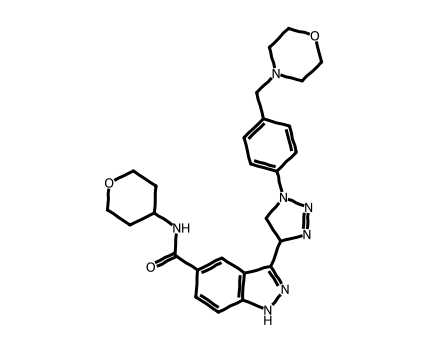 O=C(NC1CCOCC1)c1ccc2[nH]nc(C3CN(c4ccc(CN5CCOCC5)cc4)N=N3)c2c1